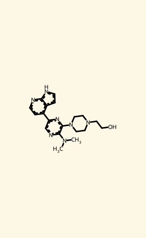 CN(C)c1ncc(-c2ccnc3[nH]ccc23)nc1N1CCN(CCO)CC1